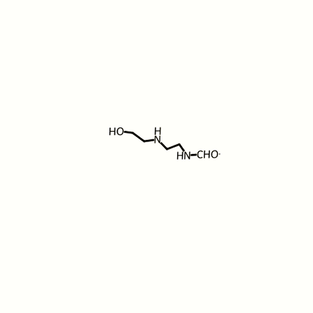 O=[C]NCCNCCO